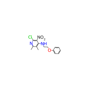 Cc1nc(Cl)c([N+](=O)[O-])c(NCCOc2ccccc2)c1C